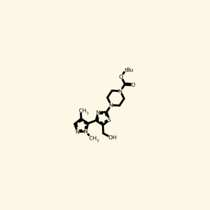 Cc1cnn(C)c1-c1nc(N2CCN(C(=O)OC(C)(C)C)CC2)sc1CO